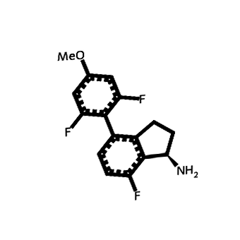 COc1cc(F)c(-c2ccc(F)c3c2CC[C@H]3N)c(F)c1